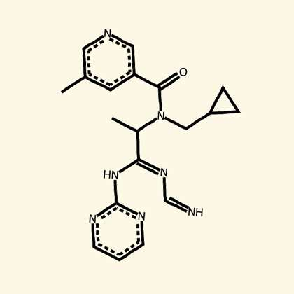 Cc1cncc(C(=O)N(CC2CC2)C(C)/C(=N/C=N)Nc2ncccn2)c1